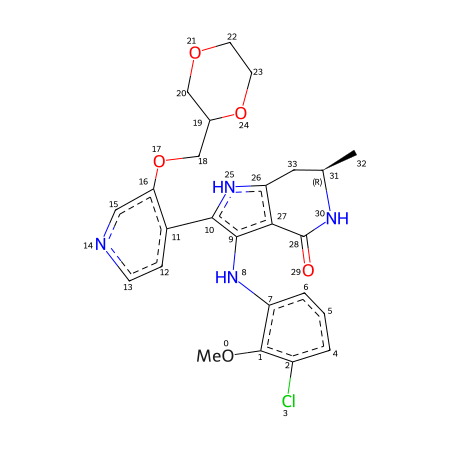 COc1c(Cl)cccc1Nc1c(-c2ccncc2OCC2COCCO2)[nH]c2c1C(=O)N[C@H](C)C2